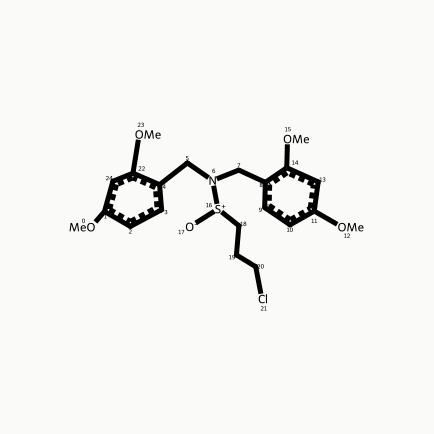 COc1ccc(CN(Cc2ccc(OC)cc2OC)[S+]([O-])CCCCl)c(OC)c1